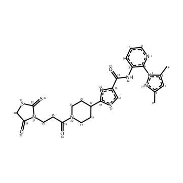 Cc1cc(C)n(-c2ncccc2NC(=O)c2csc(C3CCN(C(=O)CCN4C(=O)CSC4=S)CC3)n2)n1